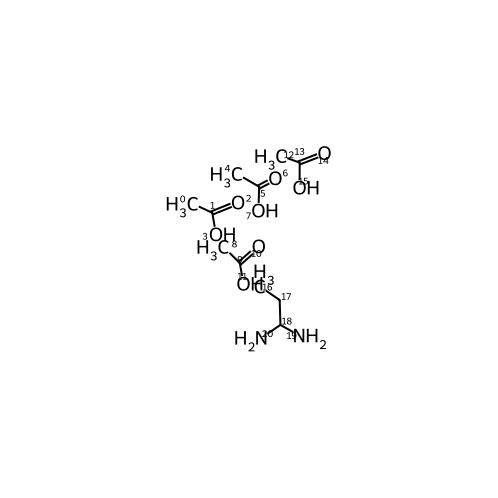 CC(=O)O.CC(=O)O.CC(=O)O.CC(=O)O.CCC(N)N